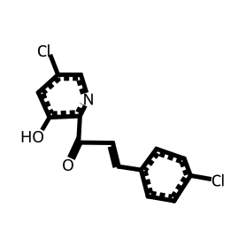 O=C(/C=C/c1ccc(Cl)cc1)c1ncc(Cl)cc1O